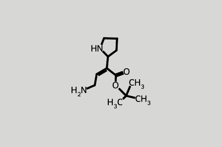 CC(C)(C)OC(=O)C(=CCN)C1CCCN1